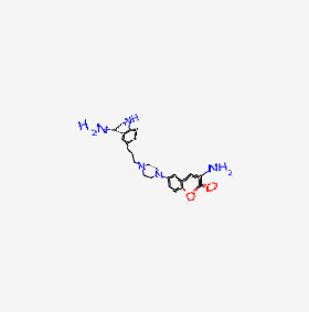 Nc1cc2cc(N3CCN(CCCc4ccc5c(c4)C(N)CN5)CC3)ccc2oc1=O